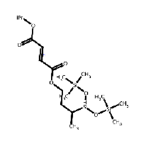 CC(C)OC(=O)/C=C/C(=O)OCCC(C)[SiH](O[Si](C)(C)C)O[Si](C)(C)C